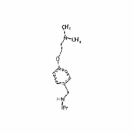 CC(C)NCc1ccc(OCCN(C)C)cc1